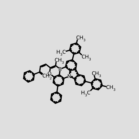 C=C(/C=C\C1=C(C)B2c3c(cc(-c4ccccc4)cc3-n3c4ccc(-c5c(C)cc(C)cc5C)cc4c4cc(-c5c(C)cc(C)cc5C)cc2c43)O1)c1ccccc1